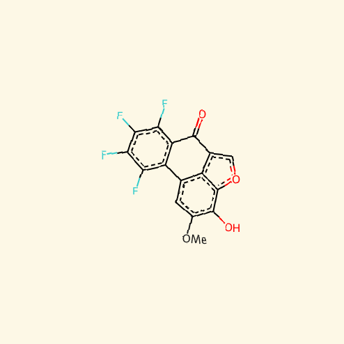 COc1cc2c3c(coc3c1O)C(=O)c1c(F)c(F)c(F)c(F)c1-2